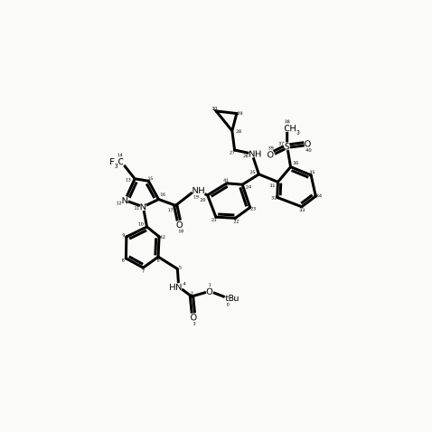 CC(C)(C)OC(=O)NCc1cccc(-n2nc(C(F)(F)F)cc2C(=O)Nc2cccc(C(NCC3CC3)c3ccccc3S(C)(=O)=O)c2)c1